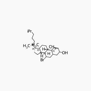 CC(C)CCC[C@@H](C)[C@H]1CC[C@H]2[C@@H]3C(Br)CC4CC(O)C=C[C@]4(C)[C@H]3CC[C@]12C